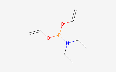 C=COP(OC=C)N(CC)CC